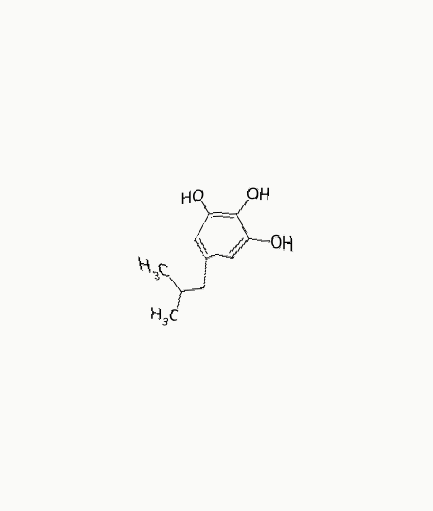 CC(C)Cc1cc(O)c(O)c(O)c1